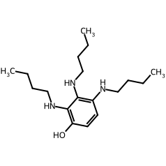 CCCCNc1ccc(O)c(NCCCC)c1NCCCC